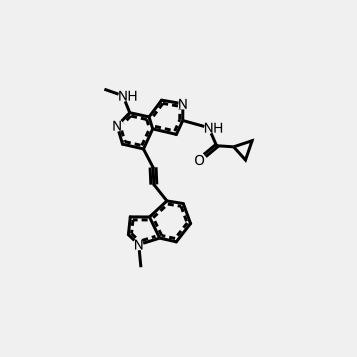 CNc1ncc(C#Cc2cccc3c2ccn3C)c2cc(NC(=O)C3CC3)ncc12